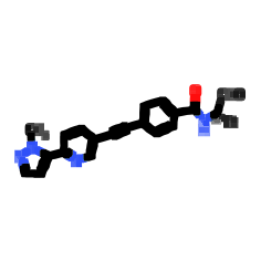 CC[C@@H](C=O)NC(=O)c1ccc(C#Cc2ccc(-c3ccnn3C)nc2)cc1